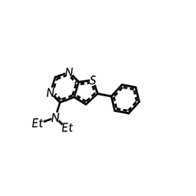 CCN(CC)c1ncnc2sc(-c3ccccc3)cc12